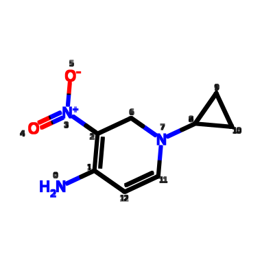 NC1=C([N+](=O)[O-])CN(C2CC2)C=C1